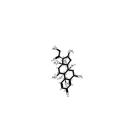 CC1C[C@H]2[C@@H]3CC(C)[C@H](C(=O)CO)[C@@]3(C)CC(O)[C@@H]2[C@@]2(C)C=CC(=O)C=C12